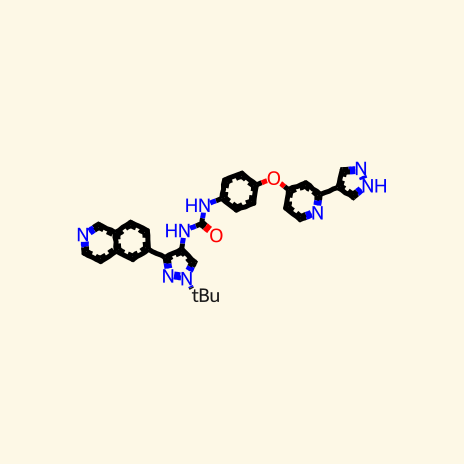 CC(C)(C)n1cc(NC(=O)Nc2ccc(Oc3ccnc(-c4cn[nH]c4)c3)cc2)c(-c2ccc3cnccc3c2)n1